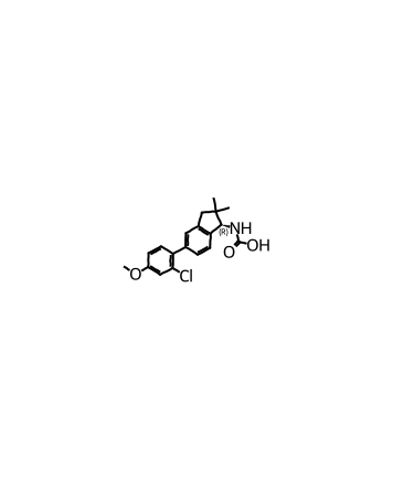 COc1ccc(-c2ccc3c(c2)CC(C)(C)[C@H]3NC(=O)O)c(Cl)c1